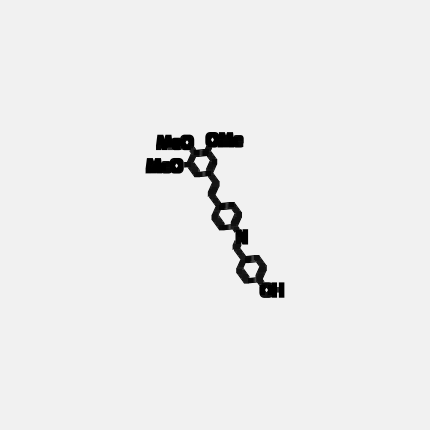 COc1cc(C=Cc2ccc(N=Cc3ccc(O)cc3)cc2)cc(OC)c1OC